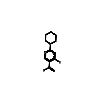 O=[N+]([O-])c1cnc(N2CCCCC2)cc1Cl